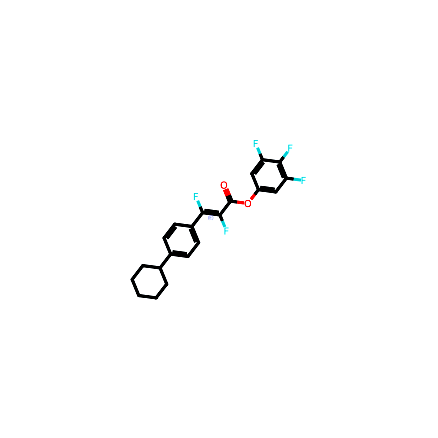 O=C(Oc1cc(F)c(F)c(F)c1)/C(F)=C(\F)c1ccc(C2CCCCC2)cc1